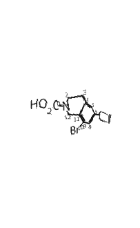 O=C(O)N1CCc2cc(Cl)cc(Br)c2C1